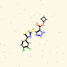 O=C(OC1CCC1)c1[nH]nnc1Sc1nc(-c2ccc(Cl)c(Cl)c2)cs1